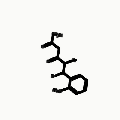 CCOC(=O)C(=O)CC(=O)C(Br)C(Br)c1ccccc1OC